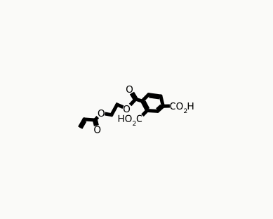 C=CC(=O)OCCOC(=O)c1ccc(C(=O)O)cc1C(=O)O